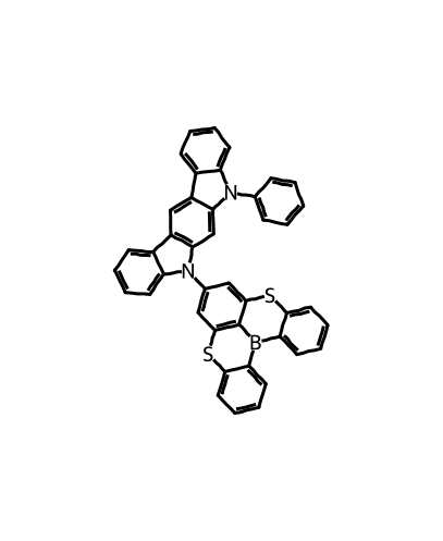 c1ccc(-n2c3ccccc3c3cc4c5ccccc5n(-c5cc6c7c(c5)Sc5ccccc5B7c5ccccc5S6)c4cc32)cc1